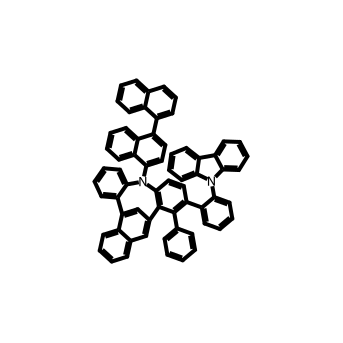 c1ccc(-c2c(-c3ccccc3-n3c4ccccc4c4ccccc43)ccc3c2-c2cc(c4ccccc4c2)-c2ccccc2N3c2ccc(-c3cccc4ccccc34)c3ccccc23)cc1